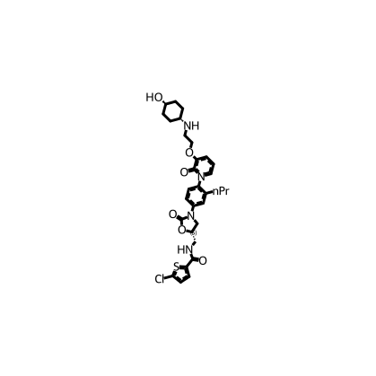 CCCc1cc(N2C[C@H](CNC(=O)c3ccc(Cl)s3)OC2=O)ccc1-n1cccc(OCCN[C@H]2CC[C@H](O)CC2)c1=O